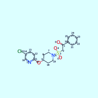 O=C(CS(=O)(=O)N1CCC(Oc2ccc(Cl)cn2)CC1)c1ccccc1